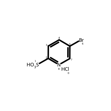 Cl.O=S(=O)(O)c1ccc(Br)cn1